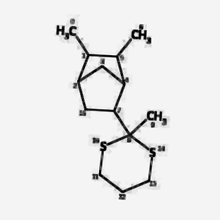 CC1C2CC(C1C)C(C1(C)SCCCS1)C2